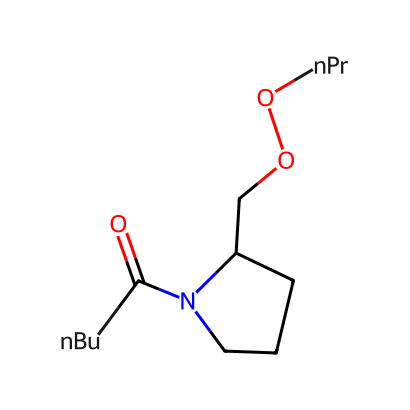 CCCCC(=O)N1CCCC1COOCCC